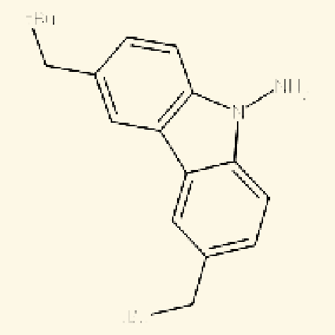 CC(C)(C)Cc1ccc2c(c1)c1cc(CC(C)(C)C)ccc1n2N